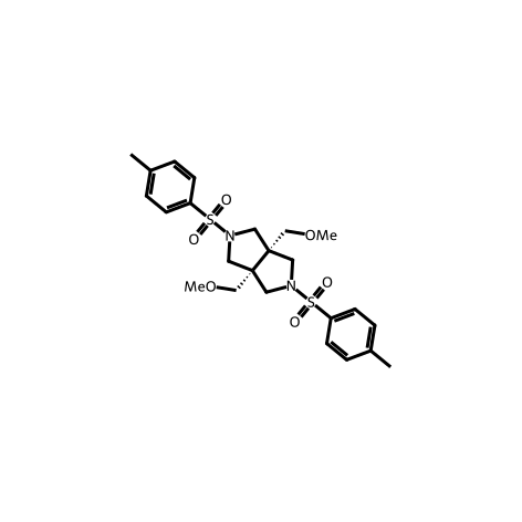 COC[C@]12CN(S(=O)(=O)c3ccc(C)cc3)C[C@@]1(COC)CN(S(=O)(=O)c1ccc(C)cc1)C2